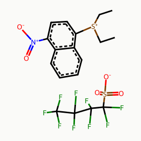 CC[S+](CC)c1ccc([N+](=O)[O-])c2ccccc12.O=S(=O)([O-])C(F)(F)C(F)(F)C(F)(F)C(F)(F)F